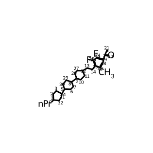 CCCC1CCC(C2CCC(C3CCC(CCc4c(C)cc(C5CO5)c(F)c4F)CC3)CC2)CC1